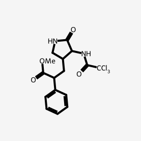 COC(=O)C(CC1CNC(=O)C1NC(=O)C(Cl)(Cl)Cl)c1ccccc1